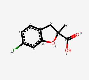 CC1(C(=O)O)Cc2ccc(F)cc2O1